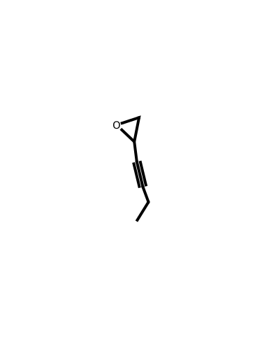 CCC#CC1CO1